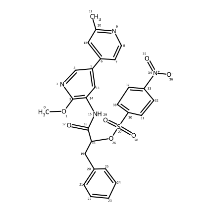 COc1ncc(-c2ccnc(C)c2)cc1NC(=O)C(Cc1ccccc1)OS(=O)(=O)c1ccc([N+](=O)[O-])cc1